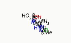 COc1nc(Nc2cc(C)cc(-c3cnn(C[C@H](O)C(=O)O)c3)c2)ncc1Cl